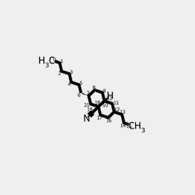 CCCCCCC[C@@H]1CC[C@@H]2CC(CCC)CCC2(C#N)C1